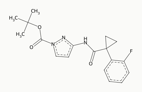 CC(C)(C)OC(=O)n1ccc(NC(=O)C2(c3ccccc3F)CC2)n1